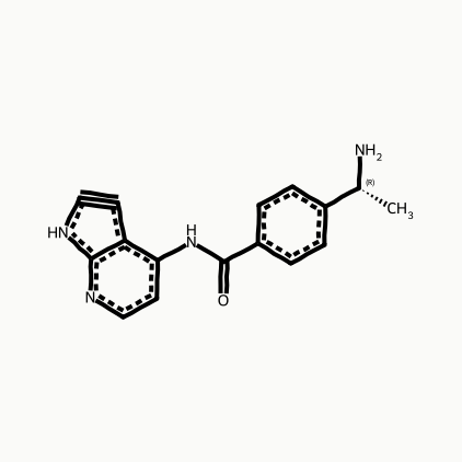 C[C@@H](N)c1ccc(C(=O)Nc2ccnc3[nH]c#cc23)cc1